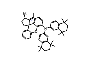 C/C=C1\C(CC)CCC12c1ccccc1Oc1c(N(c3ccc4c(c3)C(C)(C)CCC4(C)C)c3ccc4c(c3)C(C)(C)CCC4(C)C)cccc12